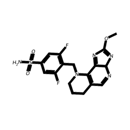 COC1=NC2N=CC3=C(C2=N1)N(Cc1c(F)cc(S(N)(=O)=O)cc1F)CCC3